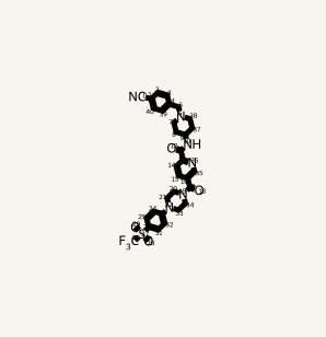 N#Cc1ccc(CN2CCC(NC(=O)c3ccc(C(=O)N4CCN(c5ccc(S(=O)(=O)C(F)(F)F)cc5)CC4)cn3)CC2)cc1